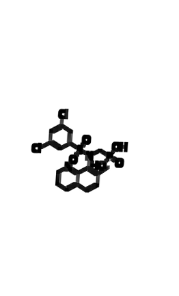 Cc1ccc2cccnc2c1N(CP(=O)(O)O)S(=O)(=O)c1cc(Cl)cc(Cl)c1